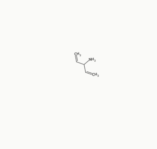 C=CC(N)C=C